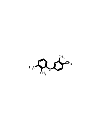 Cc1ccc(Sc2cccc(C)c2C)cc1C